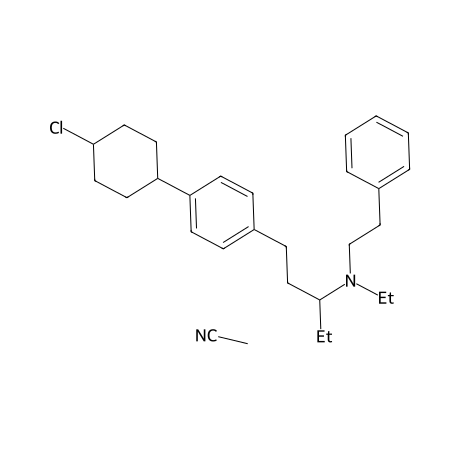 CC#N.CCC(CCc1ccc(C2CCC(Cl)CC2)cc1)N(CC)CCc1ccccc1